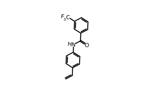 C=Cc1ccc(NC(=O)c2cccc(C(F)(F)F)c2)cc1